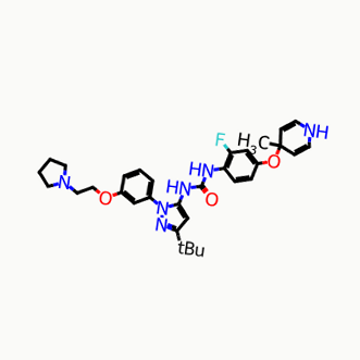 CC1(Oc2ccc(NC(=O)Nc3cc(C(C)(C)C)nn3-c3cccc(OCCN4CCCC4)c3)c(F)c2)C=CNC=C1